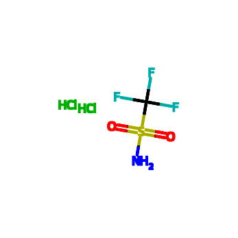 Cl.Cl.NS(=O)(=O)C(F)(F)F